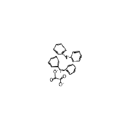 O=C([O-])C(=O)[O-].c1ccc([I+]c2ccccc2)cc1.c1ccc([I+]c2ccccc2)cc1